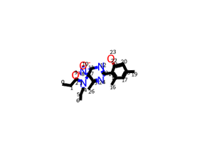 CCCN(CCC)C1([N+](=O)[O-])CN=C(c2c(C)cc(C)cc2OC)N=C1C